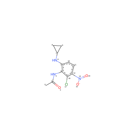 CC(=O)Nc1c(NC2CC2)ccc([N+](=O)[O-])c1Cl